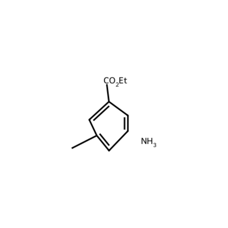 CCOC(=O)c1cccc(C)c1.N